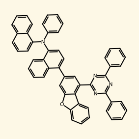 c1ccc(-c2nc(-c3ccccc3)nc(-c3cc(-c4ccc(N(c5ccccc5)c5cccc6ccccc56)c5ccccc45)cc4oc5ccccc5c34)n2)cc1